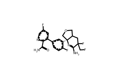 NC(=O)c1ncc(F)cc1-c1ccc(F)c([C@]23COCC2CC(F)(CF)C(N)=N3)c1